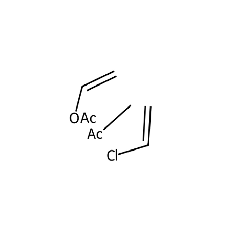 C=CCl.C=COC(C)=O.CC(C)=O